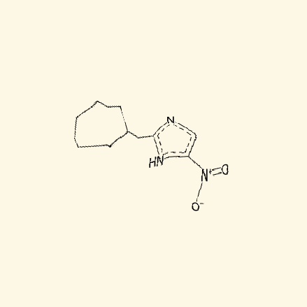 O=[N+]([O-])c1cnc(C2CCCCC2)[nH]1